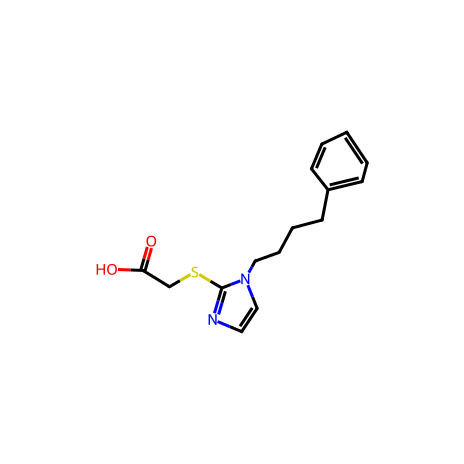 O=C(O)CSc1nccn1CCCCc1ccccc1